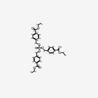 CCOC(=O)c1ccc(COP(=O)(OCc2ccc(C(=O)OCC)cc2)OCc2ccc(C(=O)OCC)cc2)cc1